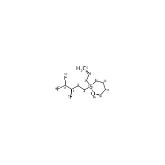 C=CC[Si]1(CCC(F)C(F)F)CCCCO1